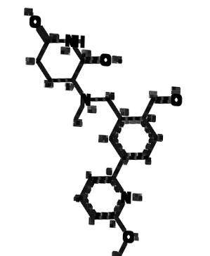 COc1cccc(-c2ccc(C=O)c(CN(C)C3CCC(=O)NC3=O)c2)n1